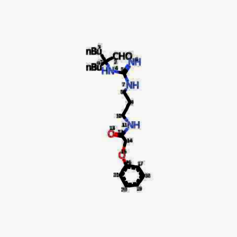 CCCCC(C=O)(CCCC)NC(=N)NCCCNC(=O)COc1ccccc1